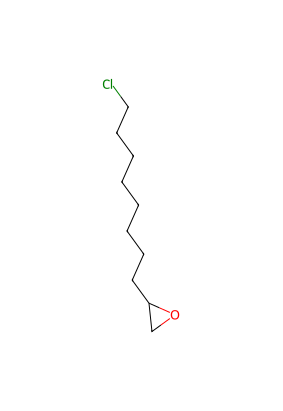 ClCCCCCCCCC1CO1